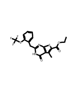 CCOC(=O)c1sc2nc(Cc3ccccc3SC(F)(F)F)[nH]c(=O)c2c1C